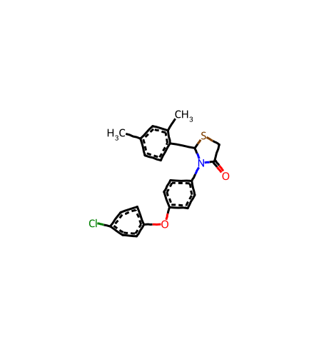 Cc1ccc(C2SCC(=O)N2c2ccc(Oc3ccc(Cl)cc3)cc2)c(C)c1